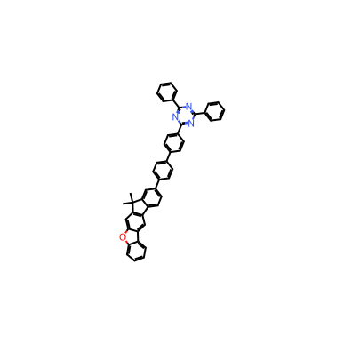 CC1(C)c2cc(-c3ccc(-c4ccc(-c5nc(-c6ccccc6)nc(-c6ccccc6)n5)cc4)cc3)ccc2-c2cc3c(cc21)oc1ccccc13